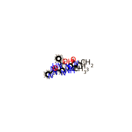 C=CCN1C(=O)c2cnc(Nc3cc(N[C@H](CO)c4ccccc4)c(-c4nc(-c5ccccn5)no4)cn3)nc2C1(C)C